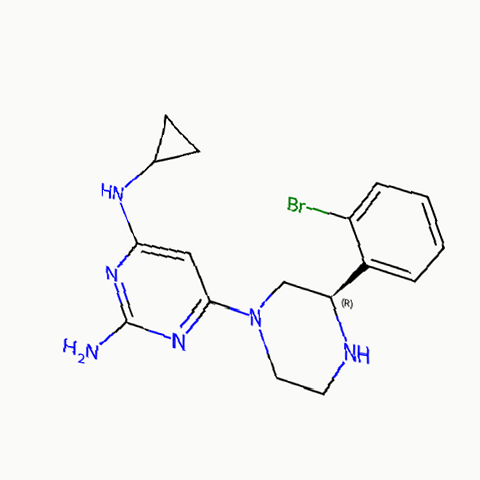 Nc1nc(NC2CC2)cc(N2CCN[C@H](c3ccccc3Br)C2)n1